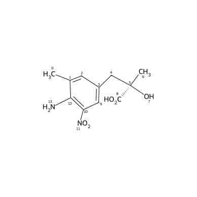 Cc1cc(C[C@@](C)(O)C(=O)O)cc([N+](=O)[O-])c1N